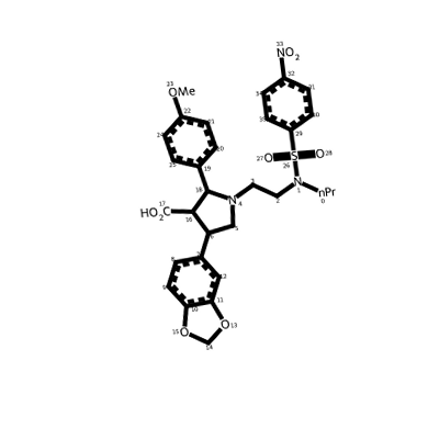 CCCN(CCN1CC(c2ccc3c(c2)OCO3)C(C(=O)O)C1c1ccc(OC)cc1)S(=O)(=O)c1ccc([N+](=O)[O-])cc1